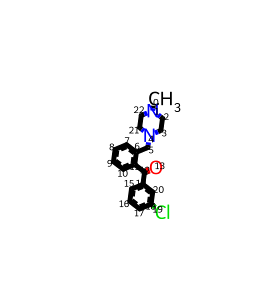 CN1CCN(Cc2ccccc2C(=O)c2cccc(Cl)c2)CC1